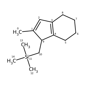 CC1=CC2=C(CCCC2)C1C[Si](C)(C)C